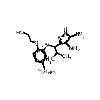 CC(C)C(Nc1cc(N)ccc1OCCO)c1n[nH]c(N)c1N.Cl